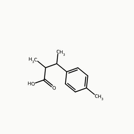 Cc1ccc(C(C)C(C)C(=O)O)cc1